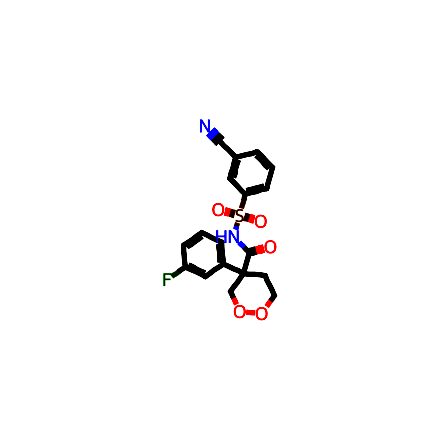 N#Cc1cccc(S(=O)(=O)NC(=O)C2(c3cccc(F)c3)CCOOC2)c1